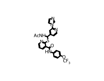 CC(=O)NC(Sc1ncccc1C(=O)Nc1ccc(OC(F)(F)F)cc1)c1ccnc(-n2ccnc2)c1